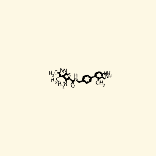 Cc1nnc2sc(C(=O)NCc3ccc(-c4ccc5c(c4C)CNN5)cc3)c(N)c2c1C